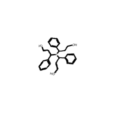 OCCC(c1ccccc1)P(C(CCO)c1ccccc1)C(CCO)c1ccccc1